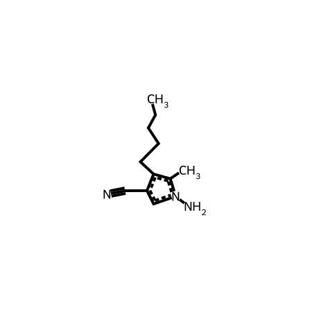 CCCCCc1c(C#N)cn(N)c1C